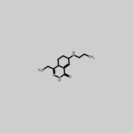 CCCNC1C=C2C(=O)NN=C(CN)C2CC1